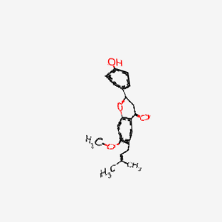 COc1cc2c(cc1CC=C(C)C)C(=O)CC(c1ccc(O)cc1)O2